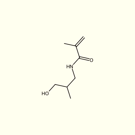 C=C(C)C(=O)NCC(C)CO